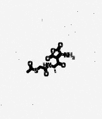 CC(=O)SCC(=O)N[C@@H](C)C(=O)C1=C(N)C(=O)OC1=O